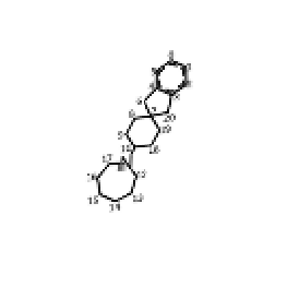 c1ccc2c(c1)CC1(CCC(N3CCCCCC3)CC1)C2